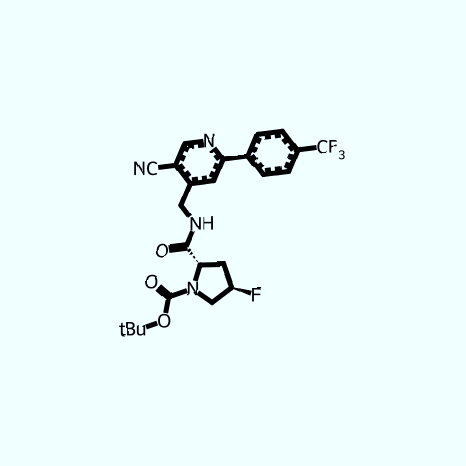 CC(C)(C)OC(=O)N1C[C@H](F)C[C@H]1C(=O)NCc1cc(-c2ccc(C(F)(F)F)cc2)ncc1C#N